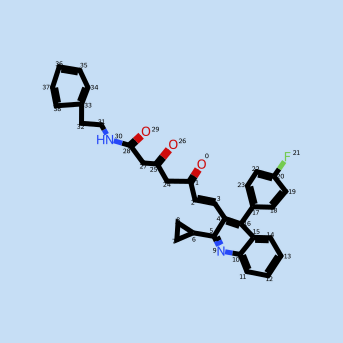 O=C(/C=C/c1c(C2CC2)nc2ccccc2c1-c1ccc(F)cc1)CC(=O)CC(=O)NCCc1ccccc1